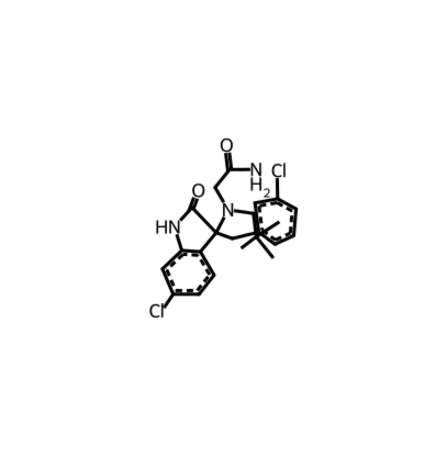 CC(C)(C)CN(CC(N)=O)C1(Cc2cccc(Cl)c2)C(=O)Nc2cc(Cl)ccc21